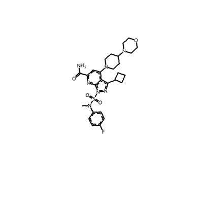 CN(c1ccc(F)cc1)S(=O)(=O)n1nc(C2CCC2)c2c(N3CCC(N4CCOCC4)CC3)cc(C(N)=O)nc21